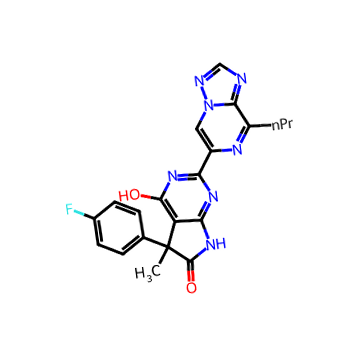 CCCc1nc(-c2nc(O)c3c(n2)NC(=O)C3(C)c2ccc(F)cc2)cn2ncnc12